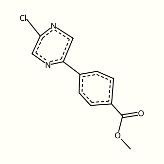 COC(=O)c1ccc(-c2cnc(Cl)cn2)cc1